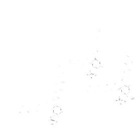 CCCCCCCCc1cccc(OP([O-])(=S)[S-])c1CCCCCCCC.CCCCCCCCc1cccc(OP([O-])(=S)[S-])c1CCCCCCCC.CCCCCCCCc1cccc(OP([O-])(=S)[S-])c1CCCCCCCC.[Mo+6]